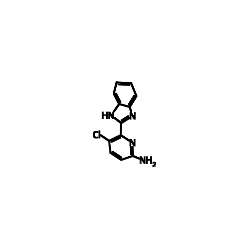 Nc1ccc(Cl)c(-c2nc3ccccc3[nH]2)n1